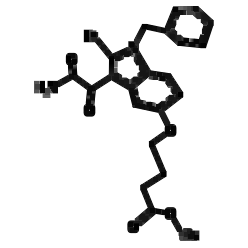 CCc1c(C(=O)C(N)=O)c2cc(OCCCC(=O)OC(C)(C)C)ccc2n1Cc1ccccc1